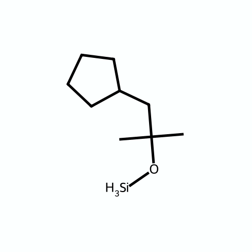 CC(C)(CC1CCCC1)O[SiH3]